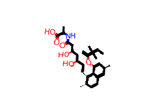 C=C(O[C@H]1C[C@@H](C)C=C2C=C[C@H](C)[C@H](CC[C@@H](O)C[C@@H](O)CC(=O)NC(C)C(=O)O)C21)C(C)(C)CC